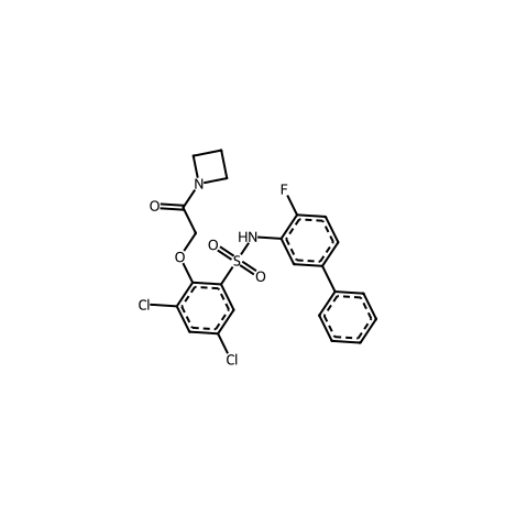 O=C(COc1c(Cl)cc(Cl)cc1S(=O)(=O)Nc1cc(-c2ccccc2)ccc1F)N1CCC1